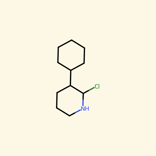 ClC1NCCCC1C1CCCCC1